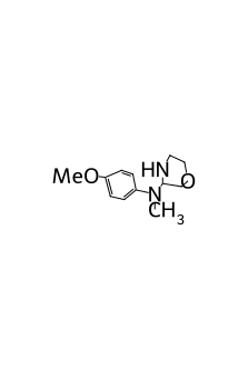 COc1ccc(N(C)C2COCCN2)cc1